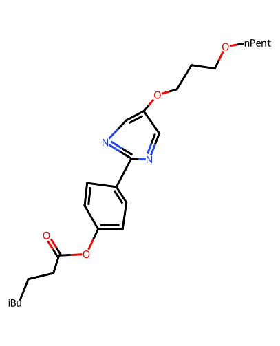 CCCCCOCCCOc1cnc(-c2ccc(OC(=O)CCC(C)CC)cc2)nc1